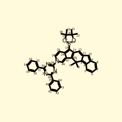 CC1(C)C2=c3ccccc3=CC2=Cc2c(B3OC(C)(C)C(C)(C)O3)c3ccn(-c4nc(-c5ccccc5)nc(-c5ccccc5)n4)cc-3c21